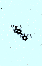 Cc1cccc2nc(-c3ccc4c(c3)nnn4C(C)C)oc12